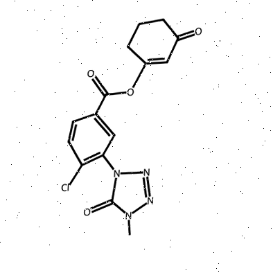 Cn1nnn(-c2cc(C(=O)OC3=CC(=O)CCC3)ccc2Cl)c1=O